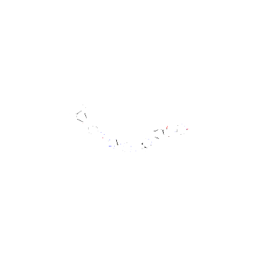 N#Cc1ccc(O[C@H]2CC[C@H](NC(=O)c3cnc(N4CCN(C[C@@H]5[C@H]6CN(c7cc8c(cc7F)C(=O)N(C7CCC(=O)NC7=O)C8=O)C[C@@H]56)CC4)cn3)CC2)cc1Br